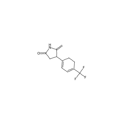 C=C1NC(=O)CC1C1=CC=C(C(F)(F)F)CC1